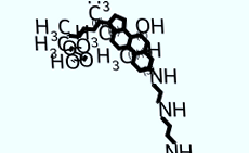 CC(C)C(CC[C@@H](C)C1CCC2C3C(CC[C@@]21C)[C@@]1(C)CC[C@H](NCCCNCCCCN)C[C@@H]1C[C@H]3O)OS(=O)(=O)O